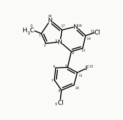 Cc1cn2c(-c3ccc(Cl)cc3F)cc(Cl)nc2n1